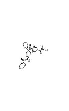 O=C(NO)C1C=NC(NC2(c3ccccc3)CCN(C(=S)NC3=CCCC=C3)CC2)=NC1